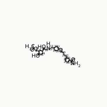 CC(=O)OCc1cc([C@@H](O)CNCCc2ccc(OCCCCc3cccc(C(N)=O)c3)cc2)ccc1O